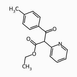 CCOC(=O)C(C(=O)c1ccc(C)cc1)c1ccccn1